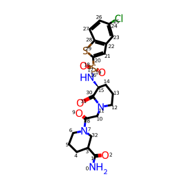 NC(=O)C1CCCN(C(=O)CN2CCC[C@H](NS(=O)(=O)c3cc4cc(Cl)ccc4s3)C2=O)C1